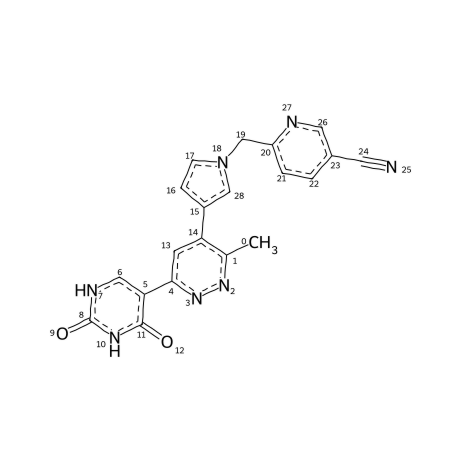 Cc1nnc(-c2c[nH]c(=O)[nH]c2=O)cc1-c1ccn(Cc2ccc(C#N)cn2)c1